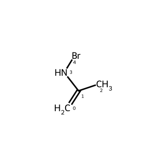 C=C(C)NBr